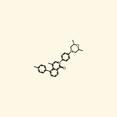 Cc1ccc(-c2cccc3c(=O)n(-c4ccc(N5CC(C)O[C@H](C)C5)cc4)cc(C)c23)cc1